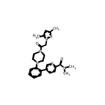 Cc1cc(C)n(CC(=O)N2CCN(c3ccccc3-c3ccc(C(=O)N(C)C)nc3)CC2)n1